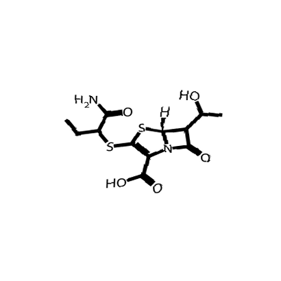 CCC(SC1=C(C(=O)O)N2C(=O)C(C(C)O)[C@H]2S1)C(N)=O